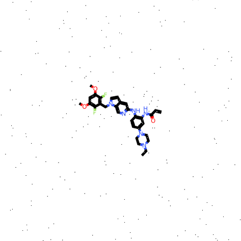 C=CC(=O)Nc1cc(N2CCN(CC)CC2)ccc1Nc1cc2ccn(Cc3c(F)c(OC)cc(OC)c3F)c2cn1